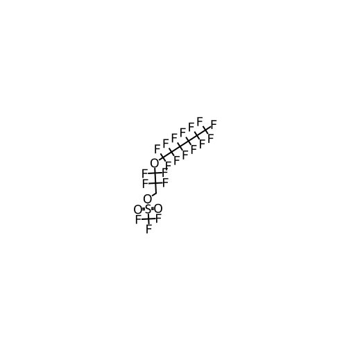 O=S(=O)(OCC(F)(F)C(F)(F)OC(F)(F)C(F)(F)C(F)(F)C(F)(F)C(F)(F)C(F)(F)F)C(F)(F)F